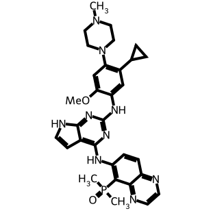 COc1cc(N2CCN(C)CC2)c(C2CC2)cc1Nc1nc(Nc2ccc3nccnc3c2P(C)(C)=O)c2cc[nH]c2n1